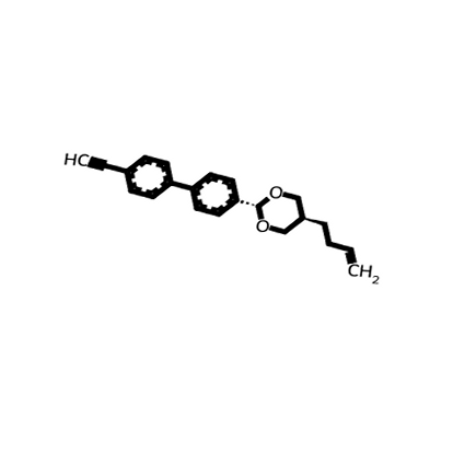 C#Cc1ccc(-c2ccc([C@H]3OC[C@H](CCC=C)CO3)cc2)cc1